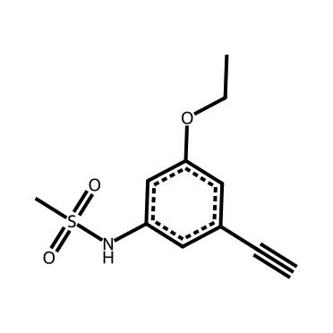 C#Cc1cc(NS(C)(=O)=O)cc(OCC)c1